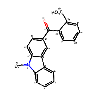 CCn1c2ccccc2c2cc(C(=O)c3ccccc3C(=O)O)ccc21